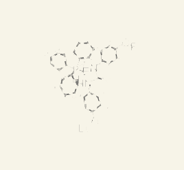 CCOc1ccc(NC(=S)Nc2ccc(OCC)cc2)cc1.CC[PH](c1ccccc1)(c1ccccc1)c1ccccc1